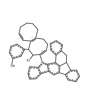 CCC1/C(n2c3ccccc3c3cc4c5c(c32)-c2ccccc2CC5c2ccccc2-4)=C\CC/C2=C(/C=C\CCCC2)C1c1cccc(C#N)c1